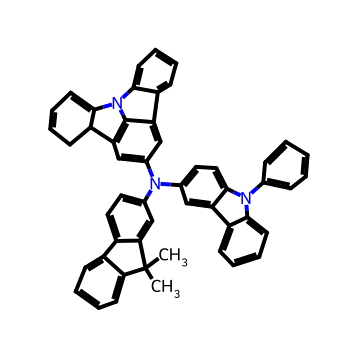 CC1(C)c2ccccc2-c2ccc(N(c3cc4c5c(c3)c3ccccc3n5C3=CC=CCC34)c3ccc4c(c3)c3ccccc3n4-c3ccccc3)cc21